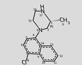 C[C@@H]1CN(c2ccc(Cl)c3ccccc23)CCN1